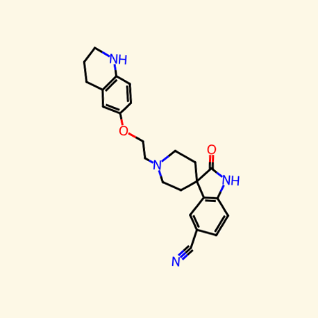 N#Cc1ccc2c(c1)C1(CCN(CCOc3ccc4c(c3)CCCN4)CC1)C(=O)N2